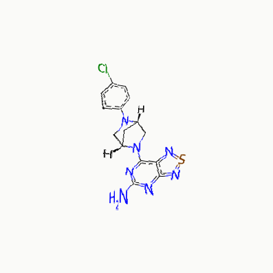 Nc1nc(N2C[C@@H]3C[C@H]2CN3c2ccc(Cl)cc2)c2nsnc2n1